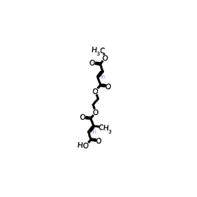 COC(=O)/C=C/C(=O)OCCOC(=O)/C(C)=C/C(=O)O